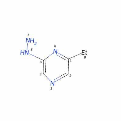 CCc1cncc(NN)n1